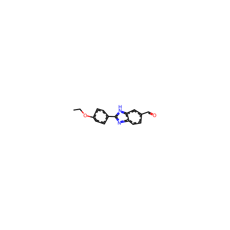 CCOc1ccc(-c2nc3ccc(C=O)cc3[nH]2)cc1